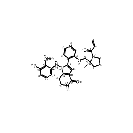 C=CC(=O)N1CCC[C@@]1(C)COc1cnccc1-c1cc2c(n1Nc1cccc(F)c1OC)CCNC2=O